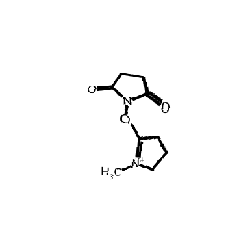 C[N+]1=C(ON2C(=O)CCC2=O)CCC1